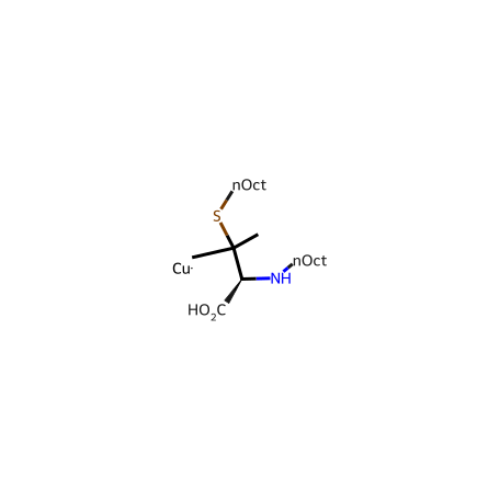 CCCCCCCCN[C@@H](C(=O)O)C(C)(C)SCCCCCCCC.[Cu]